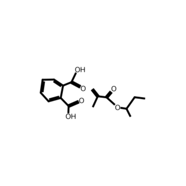 C=C(C)C(=O)OC(C)CC.O=C(O)c1ccccc1C(=O)O